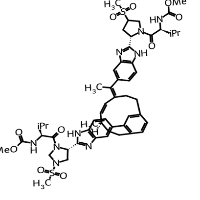 COC(=O)N[C@H](C(=O)N1CC(S(C)(=O)=O)C[C@H]1c1nc2cc(/C(C)=C3/C=C\[C@H](C)CCc4ccc(cc4-c4ccc5[nH]c([C@@H]6CN(S(C)(=O)=O)CN6C(=O)[C@@H](NC(=O)OC)C(C)C)nc5c4)CC3)ccc2[nH]1)C(C)C